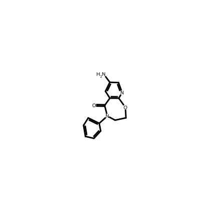 Nc1cnc2c(c1)C(=O)N(c1ccccc1)CCO2